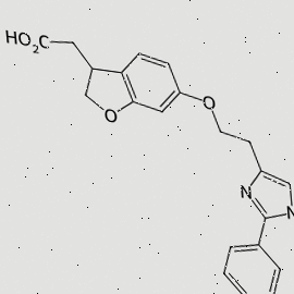 O=C(O)CC1COc2cc(OCCc3c[nH]c(-c4ccccc4)n3)ccc21